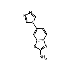 Nc1nc2ccc(-n3cnnc3)cc2s1